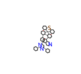 c1ccc(-c2cc(-c3ccc(-c4cccc5c4-c4c(-c6cccc7ccncc67)cccc4C54c5ccccc5Sc5ccccc54)cc3)nc(-c3ccccc3)n2)cc1